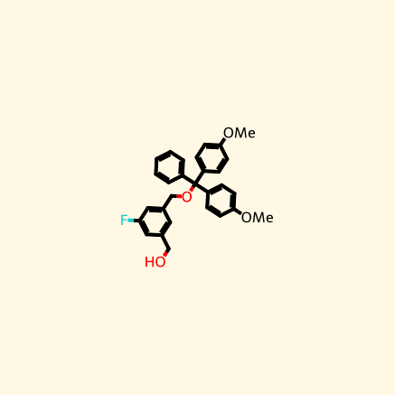 COc1ccc(C(OCc2cc(F)cc(CO)c2)(c2ccccc2)c2ccc(OC)cc2)cc1